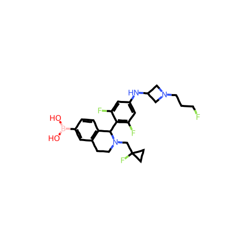 OB(O)c1ccc2c(c1)CCN(CC1(F)CC1)C2c1c(F)cc(NC2CN(CCCF)C2)cc1F